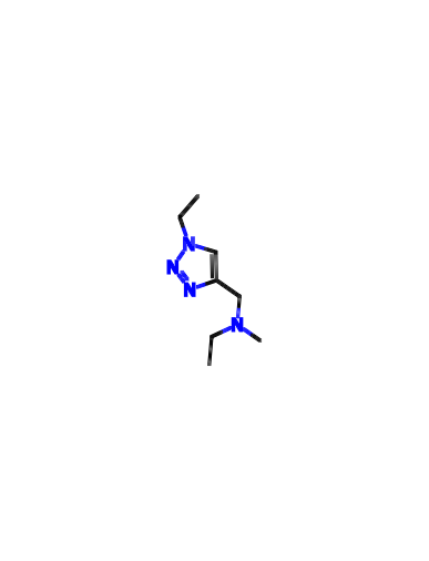 CCN(C)Cc1cn(CC)nn1